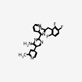 Cc1cc(-c2cnc(-c3nc(Cc4c(F)ccc(F)c4F)n4ncccc34)nc2N)ccn1